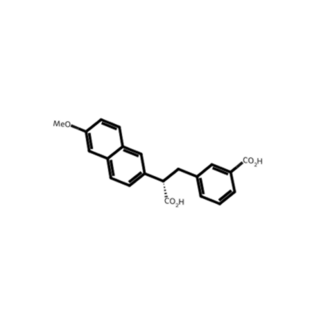 COc1ccc2cc([C@H](Cc3cccc(C(=O)O)c3)C(=O)O)ccc2c1